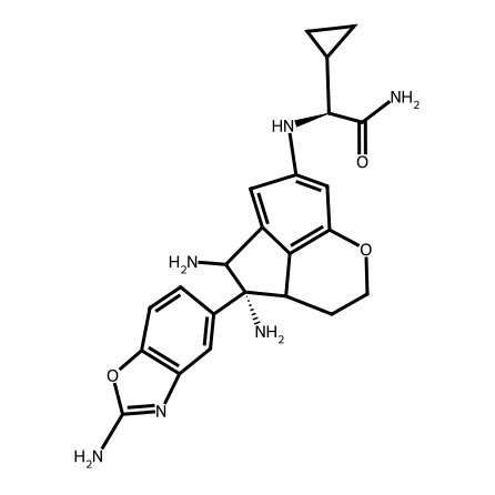 NC(=O)[C@@H](Nc1cc2c3c(c1)C(N)[C@](N)(c1ccc4oc(N)nc4c1)C3CCO2)C1CC1